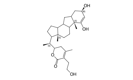 CC1=C(CCO)C(=O)OC([C@@H](C)C2CCC3C4CC5C[C@@H](O)C=C(O)[C@]5(C)C4CC[C@@]32C)C1